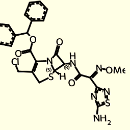 CON=C(C(=O)N[C@@H]1C(=O)N2C(C(=O)OC(c3ccccc3)c3ccccc3)=C(CCl)CS[C@@H]12)c1nsc(N)n1